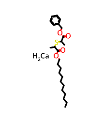 CCCCCCCCCCCCOC(=O)C(C)SC(C)C(=O)OCc1ccccc1.[CaH2]